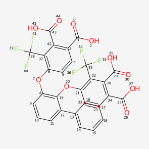 O=C(O)c1ccc(Oc2cccc(-c3ccccc3)c2Oc2ccc(C(=O)O)c(C(=O)O)c2C(F)(F)F)c(C(F)(F)F)c1C(=O)O